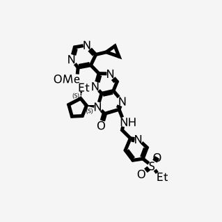 CC[C@H]1CCC[C@@H]1n1c(=O)c(NCc2ccc(S(=O)(=O)CC)cn2)nc2cnc(-c3c(OC)ncnc3C3CC3)nc21